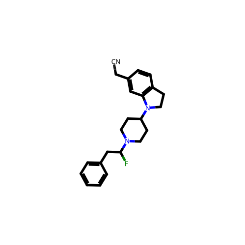 N#CCc1ccc2c(c1)N(C1CCN(C(F)Cc3ccccc3)CC1)CC2